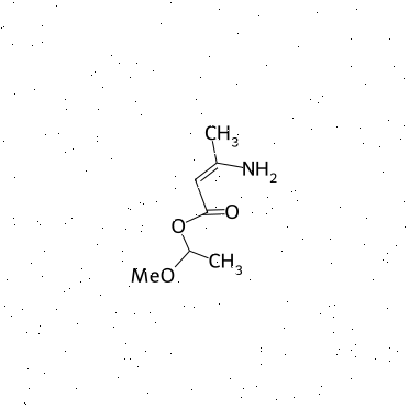 COC(C)OC(=O)/C=C(/C)N